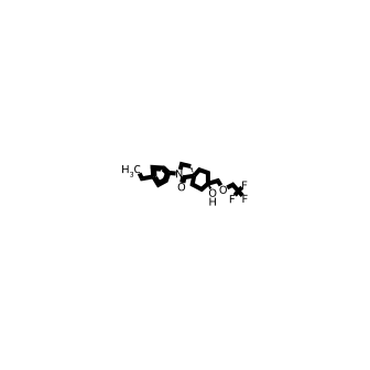 CCc1ccc(N2CC[C@]3(CC[C@@](O)(COCC(F)(F)F)CC3)C2=O)cc1